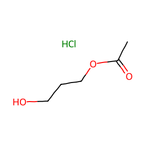 CC(=O)OCCCO.Cl